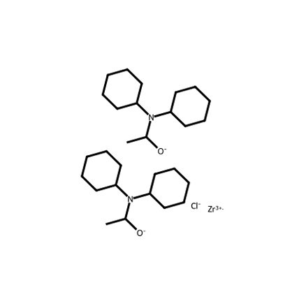 CC([O-])N(C1CCCCC1)C1CCCCC1.CC([O-])N(C1CCCCC1)C1CCCCC1.[Cl-].[Zr+3]